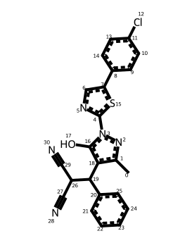 Cc1nn(-c2ncc(-c3ccc(Cl)cc3)s2)c(O)c1C(c1ccccc1)C(C#N)C#N